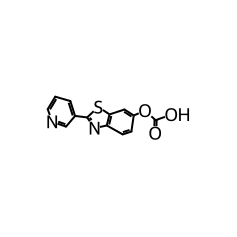 O=C(O)Oc1ccc2nc(-c3cccnc3)sc2c1